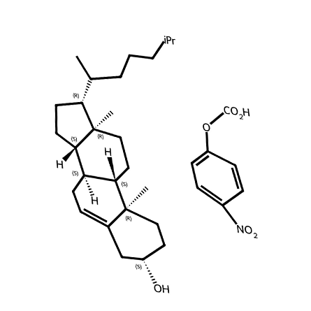 CC(C)CCCC(C)[C@H]1CC[C@H]2[C@@H]3CC=C4C[C@@H](O)CC[C@]4(C)[C@H]3CC[C@]12C.O=C(O)Oc1ccc([N+](=O)[O-])cc1